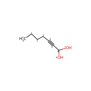 CCCCC#CC(O)O